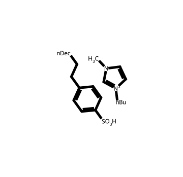 CCCCCCCCCCCCc1ccc(S(=O)(=O)O)cc1.CCCC[n+]1ccn(C)c1